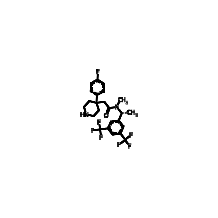 C[C@H](c1cc(C(F)(F)F)cc(C(F)(F)F)c1)N(C)C(=O)CC1(c2ccc(F)cc2)CCNCC1